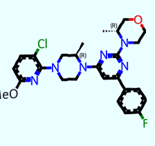 COc1ccc(Cl)c(N2CCN(c3cc(-c4ccc(F)cc4)nc(N4CCOC[C@H]4C)n3)[C@H](C)C2)n1